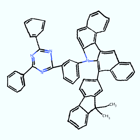 CC1(C)c2ccccc2-c2ccc(-c3c4ccccc4cc4c5c6ccccc6ccc5n(-c5cccc(-c6nc(-c7ccccc7)nc(-c7ccccc7)n6)c5)c34)cc21